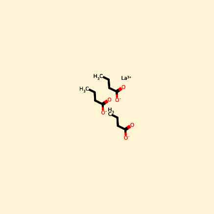 CCCC(=O)[O-].CCCC(=O)[O-].CCCC(=O)[O-].[La+3]